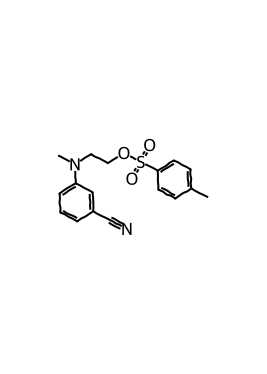 Cc1ccc(S(=O)(=O)OCCN(C)c2cccc(C#N)c2)cc1